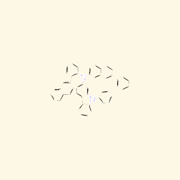 c1ccc(-c2ccc3ccc(N(c4ccc5c6ccccc6n(-c6ccccc6)c5c4)c4cccc5sc6c7ccccc7ccc6c45)cc3c2)cc1